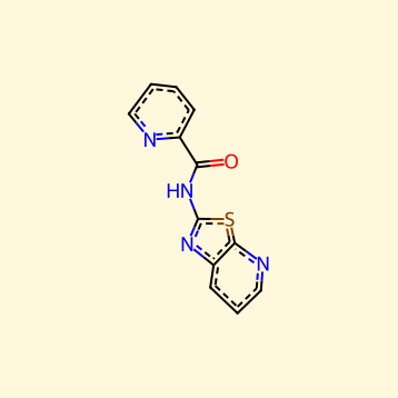 O=C(Nc1nc2cccnc2s1)c1ccccn1